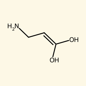 NCC=C(O)O